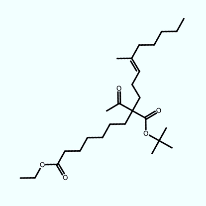 CCCCCC(C)=CCCC(CCCCCCC(=O)OCC)(C(C)=O)C(=O)OC(C)(C)C